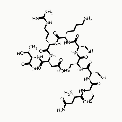 C[C@@H](O)[C@H](NC(=O)[C@H](CC(=O)O)NC(=O)[C@H](CCCNC(=N)N)NC(=O)[C@H](CCCCN)NC(=O)[C@H](CS)NC(=O)[C@H](CS)NC(=O)[C@H](CS)NC(=O)[C@H](CS)NC(=O)[C@@H](N)CC(N)=O)C(=O)O